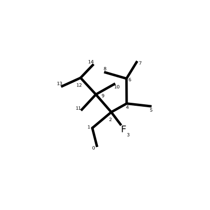 CCC(F)(C(C)C(C)C)C(C)(C)C(C)C